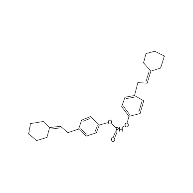 O=[PH](Oc1ccc(CC=C2CCCCC2)cc1)Oc1ccc(CC=C2CCCCC2)cc1